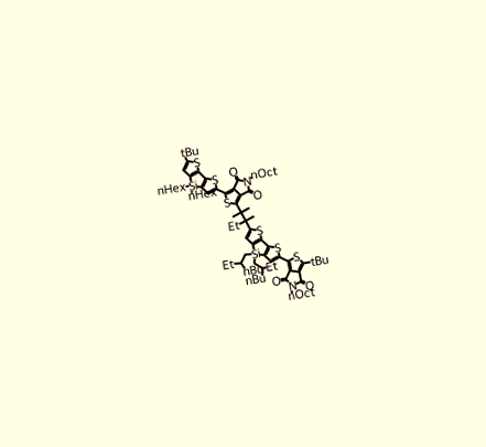 CCCCCCCCN1C(=O)c2c(-c3cc4c(s3)-c3sc(C(C)(CC)C(C)(C)c5sc(-c6cc7c(s6)-c6sc(C(C)(C)C)cc6[Si]7(CCCCCC)CCCCCC)c6c5C(=O)N(CCCCCCCC)C6=O)cc3[Si]4(CC(CC)CCCC)CC(CC)CCCC)sc(C(C)(C)C)c2C1=O